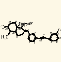 CCCCNC1/C(=C/c2cccc(C#Cc3cccc(F)c3)c2)CCC2C(C)C(O)CC[C@]12C